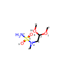 COC(CN(C)S(N)(=O)=O)OC